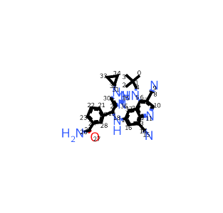 CC(C)(C)CNc1c(C#N)cnc2c(C#N)cc(NC(c3cccc(C(N)=O)c3)c3cn(C4CC4)nn3)cc12